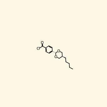 CCCCC[C@H]1CO[C@H](c2ccc(C(=O)Cl)cc2)OC1